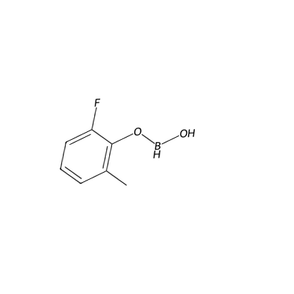 Cc1cccc(F)c1OBO